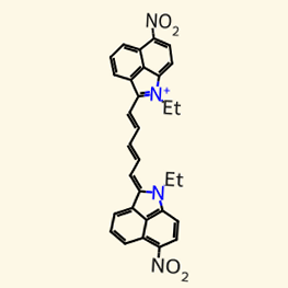 CCn1\c(=C/C=C/C=C/C2=[N+](CC)c3ccc([N+](=O)[O-])c4cccc2c34)c2cccc3c([N+](=O)[O-])ccc1c32